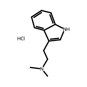 CN(C)CCc1c[nH]c2ccccc12.Cl